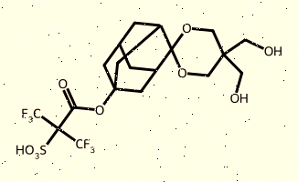 O=C(OC12CC3CC(C1)C1(OCC(CO)(CO)CO1)C(C3)C2)C(C(F)(F)F)(C(F)(F)F)S(=O)(=O)O